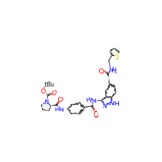 CC(C)(C)OC(=O)N1CCC[C@@H]1C(=O)Nc1ccc(C(=O)Nc2n[nH]c3ccc(C(=O)NCc4cccs4)cc23)cc1